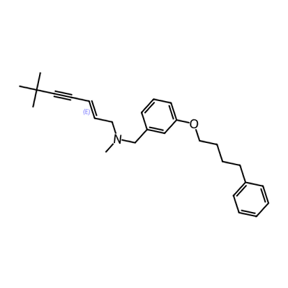 CN(C/C=C/C#CC(C)(C)C)Cc1cccc(OCCCCc2ccccc2)c1